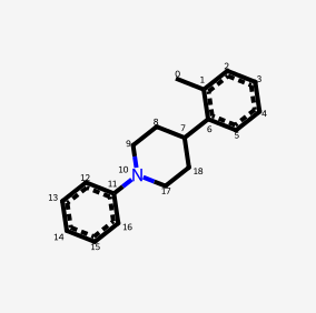 Cc1ccccc1C1CCN(c2ccccc2)CC1